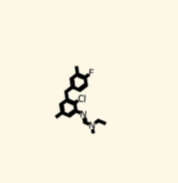 CCN(C)C=Nc1cc(C)cc(Cc2ccc(F)c(C)c2)c1Cl